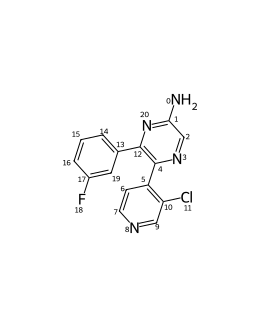 Nc1cnc(-c2ccncc2Cl)c(-c2cccc(F)c2)n1